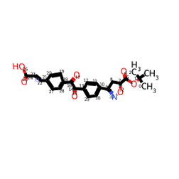 CC(C)(C)OC(=O)C1CC(c2ccc(C(=O)C(=O)c3ccc(/C=C/C(=O)O)cc3)cc2)=NO1